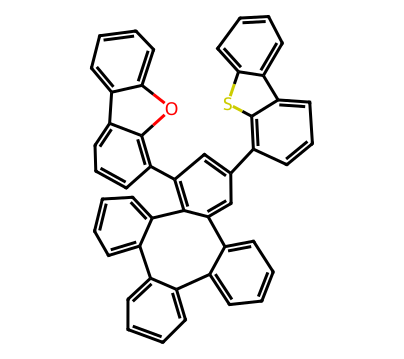 c1ccc2c(c1)-c1ccccc1-c1cc(-c3cccc4c3sc3ccccc34)cc(-c3cccc4c3oc3ccccc34)c1-c1ccccc1-2